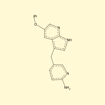 CC(C)Oc1cnc2[nH]cc(Cc3ccc(N)nc3)c2c1